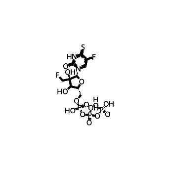 O=c1[nH]c(=S)c(F)cn1[C@@H]1O[C@H](COP(=O)(O)OP(=O)(O)OP(=O)(O)O)C(O)[C@]1(O)CF